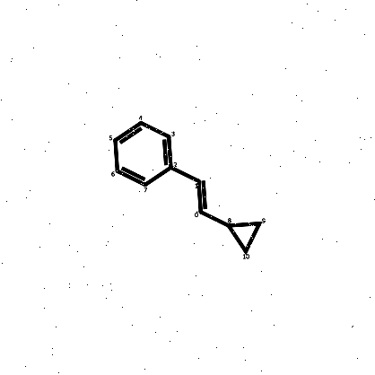 [C](=Cc1ccccc1)C1CC1